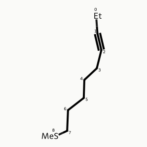 [CH2]CC#CCCCCCSC